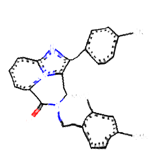 COc1ccc(CN2Cc3c(-c4ccc(C#N)cc4)nc4cccc(n34)C2=O)c(OC)c1